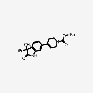 CC(C)C1(C)C(=O)Nc2cc(C3=CCN(C(=O)OC(C)(C)C)CC3)ccc21